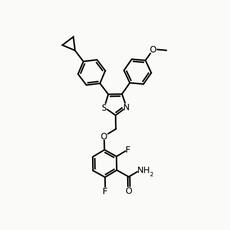 COc1ccc(-c2nc(COc3ccc(F)c(C(N)=O)c3F)sc2-c2ccc(C3CC3)cc2)cc1